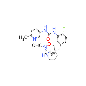 Cc1ccc(NC(=O)Nc2cc(C[C@]3(CON(C)C=O)CCCNC3)ccc2F)cn1